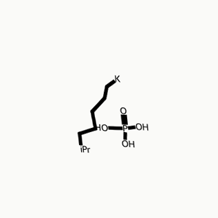 CC(C)CCCC[CH2][K].O=P(O)(O)O